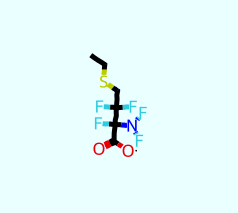 CCSCC(F)(F)C(F)(C([O])=O)N(F)F